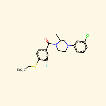 CCOC(=O)CSc1ccc(C(=O)N2CCN(c3cccc(Cl)c3)CC2C)cc1F